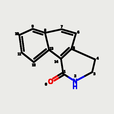 O=C1NCCc2ccc3ccccc3c21